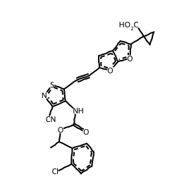 CC(OC(=O)Nc1c(C#N)nsc1C#Cc1cc2cc(C3(C(=O)O)CC3)oc2o1)c1ccccc1Cl